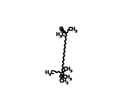 CCCCCC(CC)(CCCCCCCCCCCCCCCCCCC(C)(CCC)CN=O)CC1(C)C2CCC1(C)C2